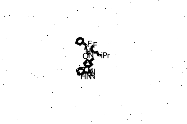 CC(C)CCc1c(C(F)F)n(CCC2CCCCC2)c(=O)n1Cc1ccc(-c2ccccc2-c2nnn[nH]2)cc1